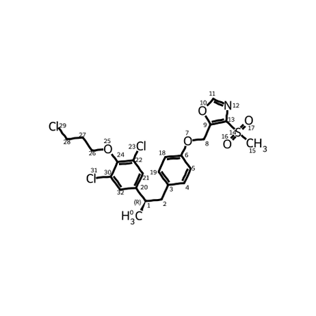 C[C@H](Cc1ccc(OCc2ocnc2S(C)(=O)=O)cc1)c1cc(Cl)c(OCCCCl)c(Cl)c1